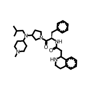 CC(C)CN(C1CCN(C)CC1)C1CCN(C(=O)[C@@H](Cc2ccccc2)NC(=O)CC2NCCc3ccccc32)C1